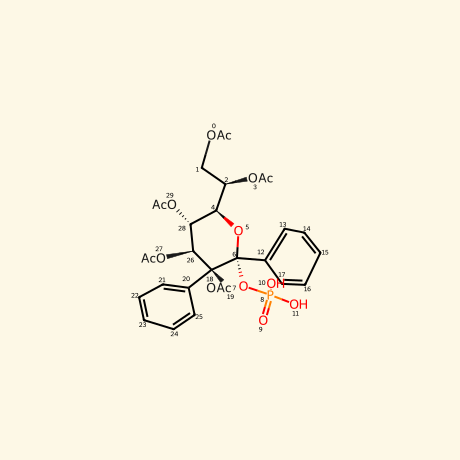 CC(=O)OC[C@@H](OC(C)=O)[C@H]1O[C@@](OP(=O)(O)O)(c2ccccc2)[C@](OC(C)=O)(c2ccccc2)[C@@H](OC(C)=O)[C@@H]1OC(C)=O